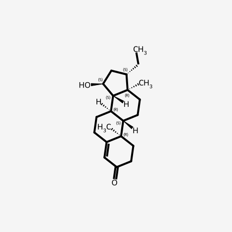 CC[C@H]1C[C@H](O)[C@H]2[C@@H]3CCC4=CC(=O)CC[C@]4(C)[C@H]3CC[C@]12C